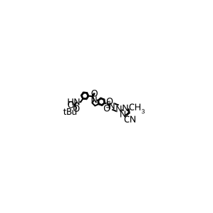 Cc1cc(C#N)nc(N2CCN(S(=O)(=O)c3ccc4c(c3)CCN4C(=O)c3cccc(CNC(=O)OC(C)(C)C)c3)CC2)n1